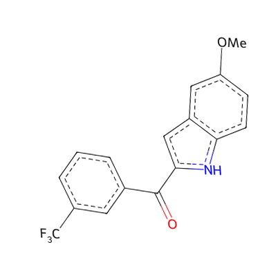 COc1ccc2[nH]c(C(=O)c3cccc(C(F)(F)F)c3)cc2c1